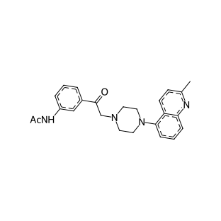 CC(=O)Nc1cccc(C(=O)CN2CCN(c3cccc4nc(C)ccc34)CC2)c1